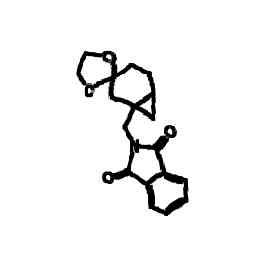 O=C1c2ccccc2C(=O)N1CC12CC1CCC1(C2)OCCO1